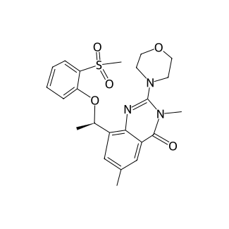 Cc1cc([C@@H](C)Oc2ccccc2S(C)(=O)=O)c2nc(N3CCOCC3)n(C)c(=O)c2c1